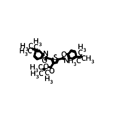 CC(C)(C)OC(=O)c1cc(-c2nc3cc(C(C)(C)C)ccc3o2)sc1-c1nc2cc(C(C)(C)C)ccc2o1